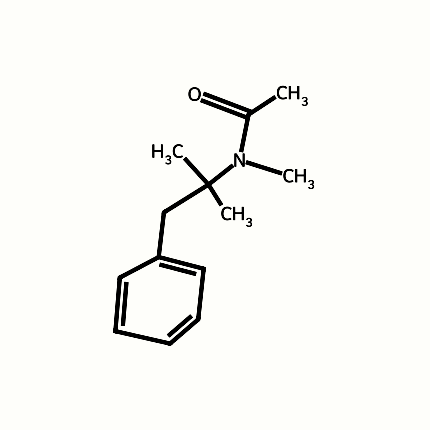 CC(=O)N(C)C(C)(C)Cc1ccccc1